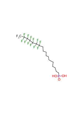 O=P(O)(O)CCCCCCCCCCCC(F)(F)C(F)(F)C(F)(F)C(F)(F)C(F)(F)C(F)(F)C(F)(F)F